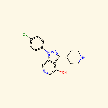 Oc1cncc2c1c(C1CCNCC1)nn2-c1ccc(Cl)cc1